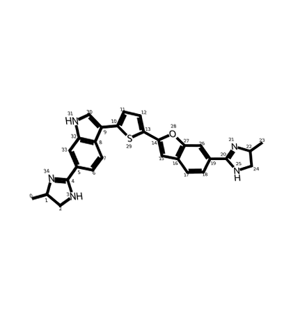 CC1CNC(c2ccc3c(-c4ccc(-c5cc6ccc(C7=NC(C)CN7)cc6o5)s4)c[nH]c3c2)=N1